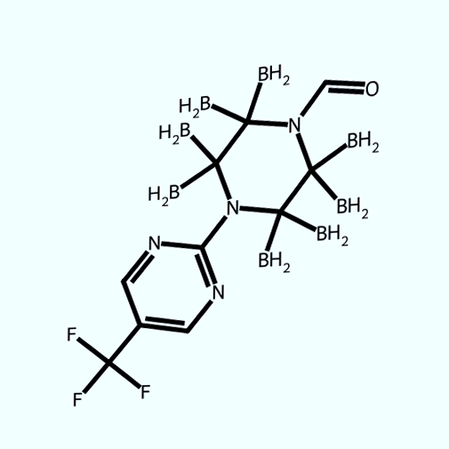 BC1(B)N(C=O)C(B)(B)C(B)(B)N(c2ncc(C(F)(F)F)cn2)C1(B)B